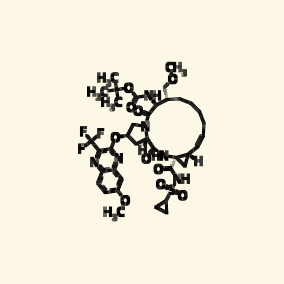 COC[C@@H]1CCCC/C=C\[C@@H]2C[C@@]2(C(=O)NS(=O)(=O)C2CC2)NC(=O)[C@@H]2C[C@@H](Oc3nc4cc(OC)ccc4nc3C(F)(F)F)CN2C(=O)[C@H]1NC(=O)OC(C)(C)C